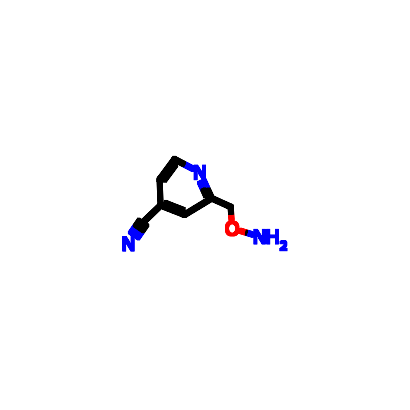 N#Cc1ccnc(CON)c1